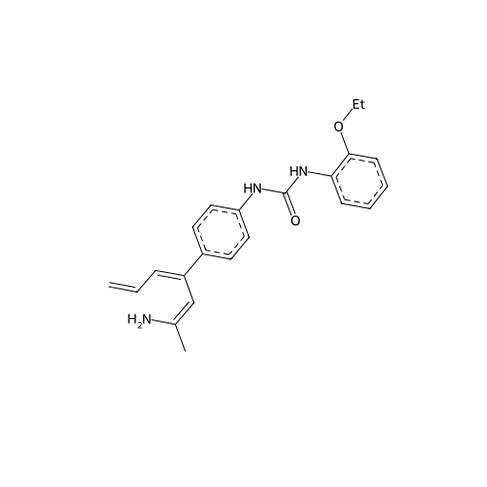 C=C/C=C(\C=C(\C)N)c1ccc(NC(=O)Nc2ccccc2OCC)cc1